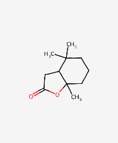 CC1(C)CCCC2(C)OC(=O)CC12